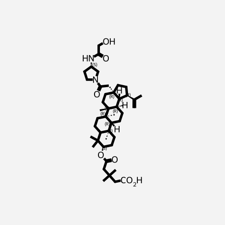 C=C(C)[C@@H]1CC[C@]2(CC(=O)N3CC[C@H](NC(=O)CO)C3)CC[C@]3(C)[C@H](CC[C@@H]4[C@@]5(C)CC[C@H](OC(=O)CC(C)(C)CC(=O)O)C(C)(C)C5CC[C@]43C)[C@@H]12